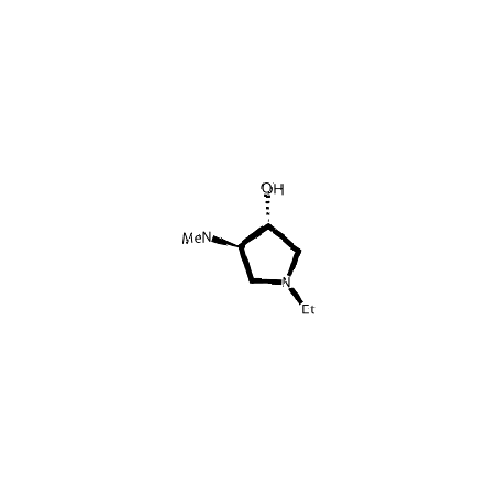 CCN1C[C@@H](O)[C@H](NC)C1